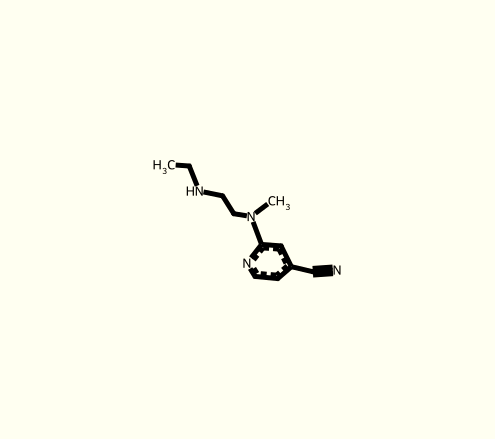 CCNCCN(C)c1cc(C#N)ccn1